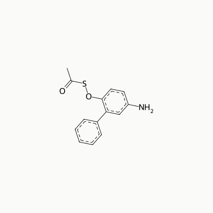 CC(=O)SOc1ccc(N)cc1-c1ccccc1